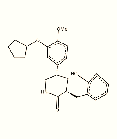 COc1ccc([C@H]2CNC(=O)[C@H](Cc3ccccc3C#N)C2)cc1OC1CCCC1